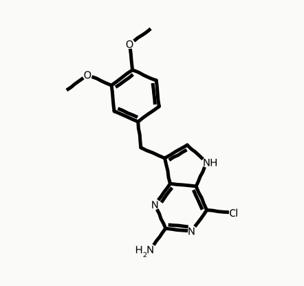 COc1ccc(Cc2c[nH]c3c(Cl)nc(N)nc23)cc1OC